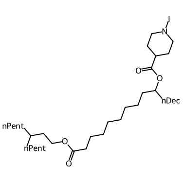 CCCCCCCCCCC(CCCCCCCCC(=O)OCCC(CCCCC)CCCCC)OC(=O)C1CCN(I)CC1